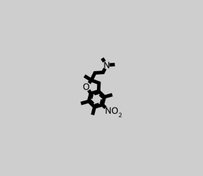 Cc1c(C)c([N+](=O)[O-])c(C)c2c1OC(C)(CCN(C)C)C2